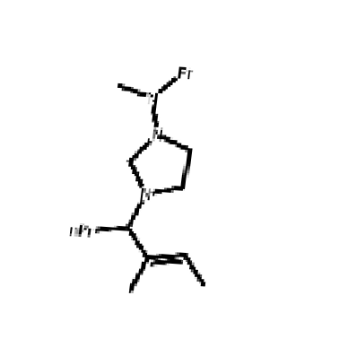 CC=C(C)C(CCC)N1CCN(N(C)CC)C1